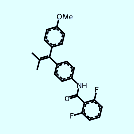 COc1ccc(C(=C(C)C)c2ccc(NC(=O)c3c(F)cccc3F)cc2)cc1